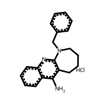 Cl.Nc1c2c(nc3ccccc13)N(Cc1ccccc1)CCCC2